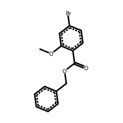 COc1cc(Br)ccc1C(=O)OCc1ccccc1